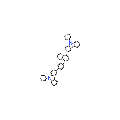 c1ccc(-n2c3ccccc3c3cc(-c4ccc5c(c4)-c4cccc6c(-c7ccc8c(c7)c7ccccc7n8-c7ccccc7)ccc-5c46)ccc32)cc1